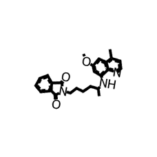 COc1cc(NC(C)CCCCN2C(=O)c3ccccc3C2=O)c2nccc(C)c2c1